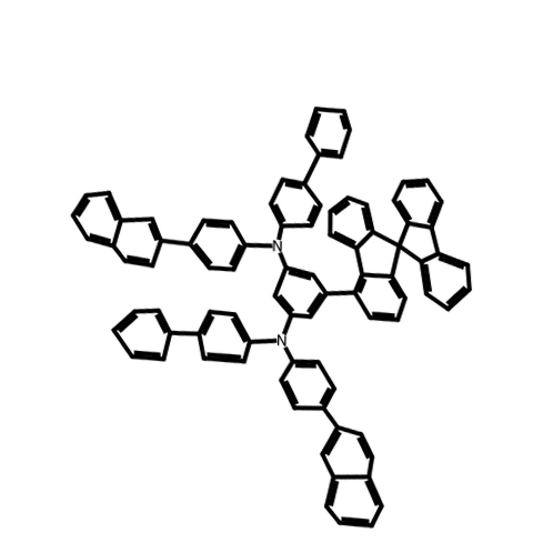 c1ccc(-c2ccc(N(c3ccc(-c4ccc5ccccc5c4)cc3)c3cc(-c4cccc5c4-c4ccccc4C54c5ccccc5-c5ccccc54)cc(N(c4ccc(-c5ccccc5)cc4)c4ccc(-c5ccc6ccccc6c5)cc4)c3)cc2)cc1